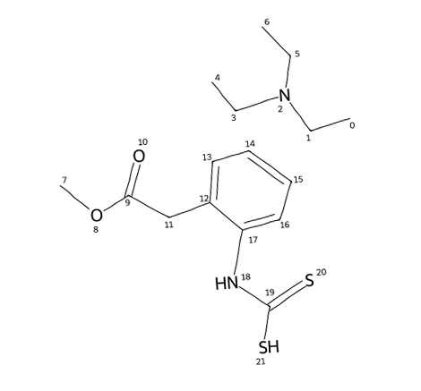 CCN(CC)CC.COC(=O)Cc1ccccc1NC(=S)S